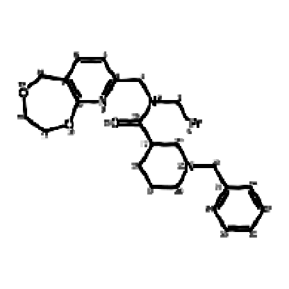 CC(C)CN(Cc1ccc2c(n1)OCCOC2)C(=O)C1CCCN(Cc2ccccc2)C1